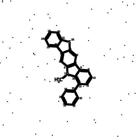 Cn1c2cc3c(cc2c2cccc(-c4ccccc4)c21)sc1ccccc13